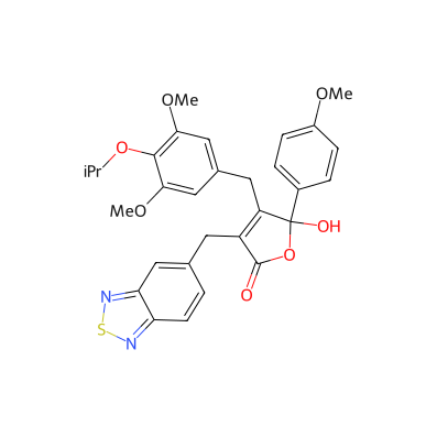 COc1ccc(C2(O)OC(=O)C(Cc3ccc4nsnc4c3)=C2Cc2cc(OC)c(OC(C)C)c(OC)c2)cc1